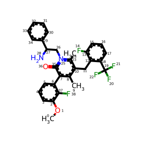 COc1cccc(-c2c(C)c(Cc3c(F)cccc3C(F)(F)F)c(C)n(CC(N)c3ccccc3)c2=O)c1F